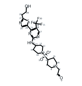 O=CCN1CCC(S(=O)(=O)N2CCC(Nc3ncc(C(F)(F)F)c(-c4cnc(CCO)s4)n3)CC2)CC1